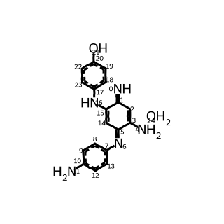 N=C1C=C(N)/C(=N/c2ccc(N)cc2)C=C1Nc1ccc(O)cc1.O